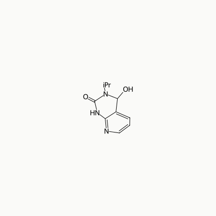 CC(C)N1C(=O)Nc2ncccc2C1O